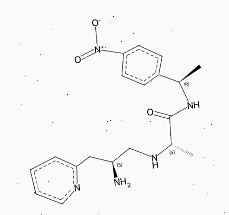 C[C@H](NC[C@@H](N)Cc1ccccn1)C(=O)N[C@H](C)c1ccc([N+](=O)[O-])cc1